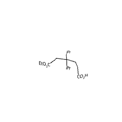 CCOC(=O)CC(CC(=O)O)(C(C)C)C(C)C